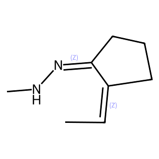 C/C=C1/CCC/C1=N/NC